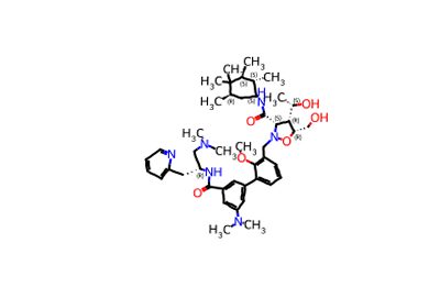 COc1c(CN2O[C@@H](CO)[C@@H]([C@H](C)O)[C@H]2C(=O)N[C@H]2C[C@@H](C)C(C)(C)[C@@H](C)[C@@H]2C)cccc1-c1cc(C(=O)N[C@H](Cc2ccccn2)CN(C)C)cc(N(C)C)c1